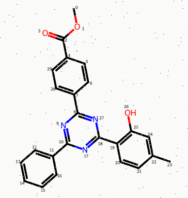 COC(=O)c1ccc(-c2nc(-c3ccccc3)nc(-c3ccc(C)cc3O)n2)cc1